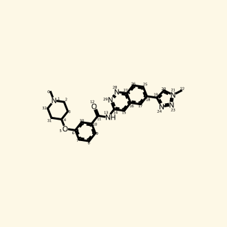 CN1CCC(Oc2cccc(C(=O)Nc3cc4cc(-c5cn(C)nn5)ccc4nn3)c2)CC1